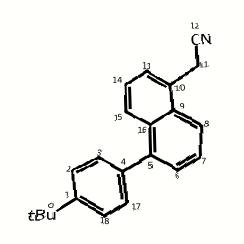 CC(C)(C)c1ccc(-c2cccc3c(CC#N)cccc23)cc1